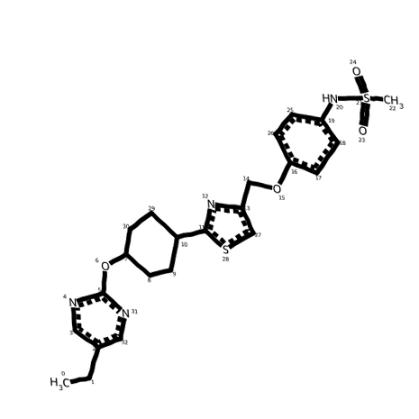 CCc1cnc(OC2CCC(c3nc(COc4ccc(NS(C)(=O)=O)cc4)cs3)CC2)nc1